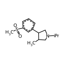 CC1CN(C(C)C)CC1c1cccc(S(C)(=O)=O)c1